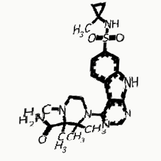 CN1CCN(c2ncnc3[nH]c4cc(S(=O)(=O)NC5(C)CC5)ccc4c23)C(C)(C)C1(C)C(N)=O